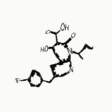 CCC(C)n1c(=O)c(C(=O)O)c(O)c2cc(Cc3ccc(F)cc3)cnc21